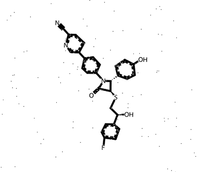 N#Cc1ccc(-c2ccc(N3C(=O)[C@H](SC[C@@H](O)c4ccc(F)cc4)[C@H]3c3ccc(O)cc3)cc2)cn1